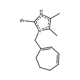 Cc1[nH]c(C(C)C)[n+](CC2=CC=CCCC2)c1C